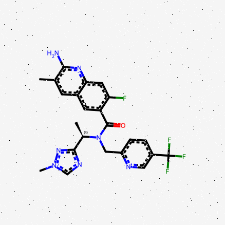 Cc1cc2cc(C(=O)N(Cc3ccc(C(F)(F)F)cn3)[C@H](C)c3ncn(C)n3)c(F)cc2nc1N